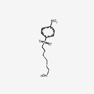 CCCCCCCCCCCCCCCCS(=O)(=O)c1ccc([N+](=O)[O-])cc1